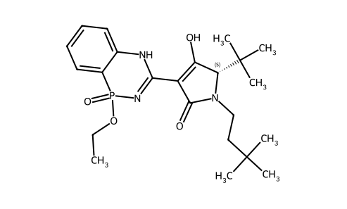 CCOP1(=O)N=C(C2=C(O)[C@H](C(C)(C)C)N(CCC(C)(C)C)C2=O)Nc2ccccc21